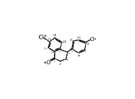 O=C1CCC(c2ccc(Cl)cc2)c2ccc(Cl)cc21